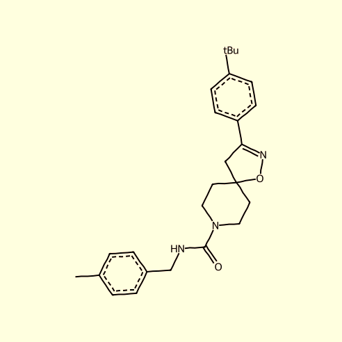 Cc1ccc(CNC(=O)N2CCC3(CC2)CC(c2ccc(C(C)(C)C)cc2)=NO3)cc1